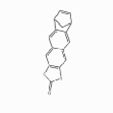 O=c1sc2cc3cc4c(cc3cc2s1)C1C=CC4C1